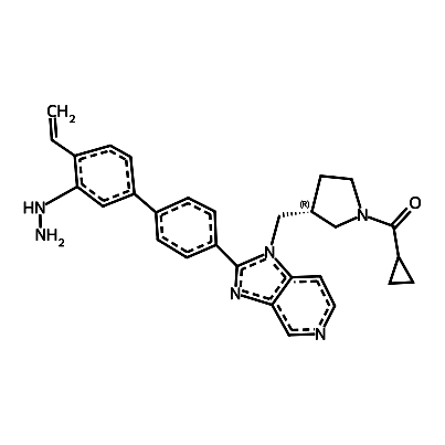 C=Cc1ccc(-c2ccc(-c3nc4cnccc4n3C[C@@H]3CCN(C(=O)C4CC4)C3)cc2)cc1NN